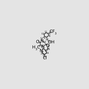 C[C@@H]1C(=O)N(Cc2ccc(C(F)(F)F)cc2)[C@H](CO)C(=O)N1c1ncc(Cl)cc1F